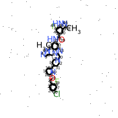 CCn1cncc1Cn1c(CN2CCC(c3cccc(OCc4ccc(Cl)cc4F)n3)CC2)nc2cc(NC(=O)c3cc(F)c4[nH]nc(C)c4c3)ccc21